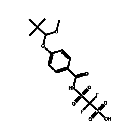 COC(Oc1ccc(C(=O)NS(=O)(=O)C(F)(F)S(=O)(=O)O)cc1)C(C)(C)C